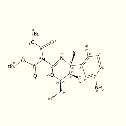 CC(C)(C)OC(=O)N(C(=O)OC(C)(C)C)C1=N[C@](C)(c2cc(N)ccc2F)[C@@H](F)[C@@H](CF)O1